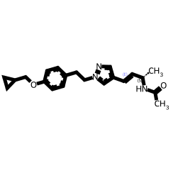 CC(=O)N[C@@H](C)/C=C/c1cnn(CCc2ccc(OCC3CC3)cc2)c1